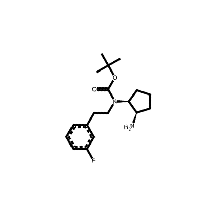 CC(C)(C)OC(=O)N(CCc1cccc(F)c1)[C@H]1CCC[C@H]1N